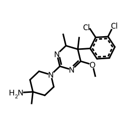 COC1=NC(N2CCC(C)(N)CC2)=NC(C)C1(C)c1cccc(Cl)c1Cl